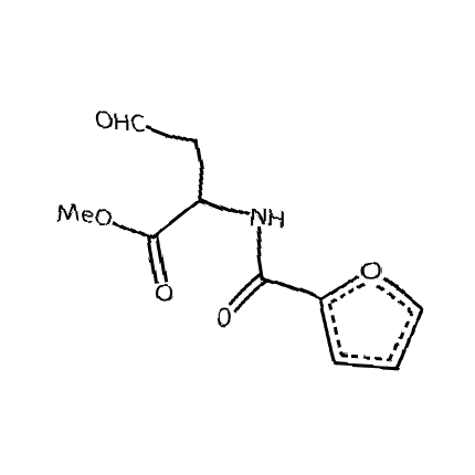 COC(=O)C(CC=O)NC(=O)c1ccco1